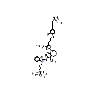 CCOC(=O)c1nc(N2CCCCc3c2nnc(/N=c2\sc4ccccc4n2COCC[Si](C)(C)C)c3C)sc1CCCOc1ccc(C#CCN(C)C)cc1F